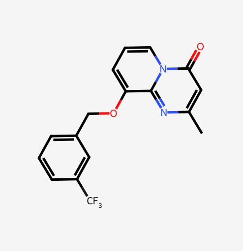 Cc1cc(=O)n2cccc(OCc3cccc(C(F)(F)F)c3)c2n1